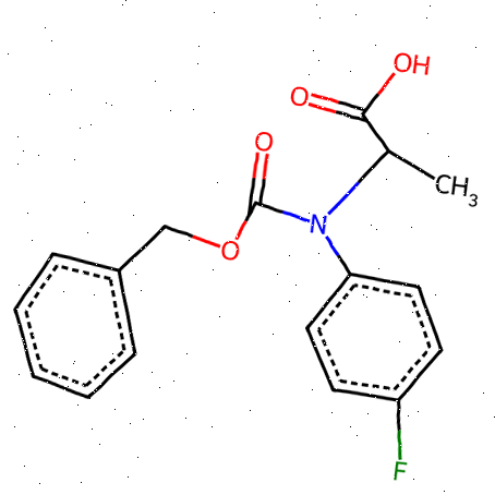 CC(C(=O)O)N(C(=O)OCc1ccccc1)c1ccc(F)cc1